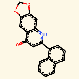 O=c1cc(-c2cccc3ccccc23)[nH]c2cc3c(cc12)OCO3